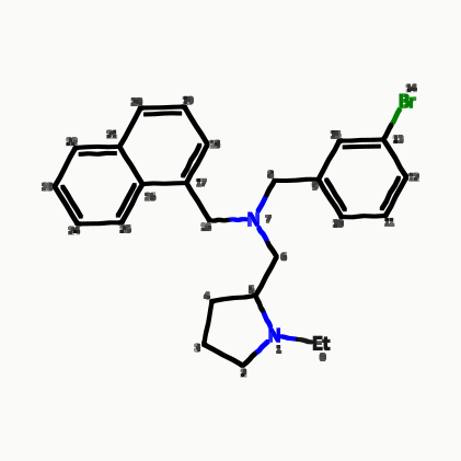 CCN1CCCC1CN(Cc1cccc(Br)c1)Cc1cccc2ccccc12